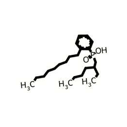 CCCCCCCCCc1ccccc1P(=O)(O)CC(CC)CCCC